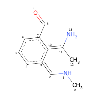 CN/C=c1/cccc(C=O)/c1=C(/C)N